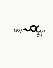 CCOC(=O)/C=C/c1ccc(F)c(B(O)O)c1